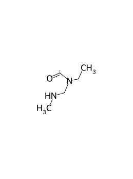 CCN([C]=O)CNC